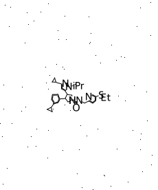 CCSc1ccc(CNC(=O)N2CC(c3cccc(C4CC4)c3)C(c3cc(C4CC4)nn3C(C)C)C2)nc1